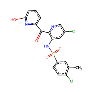 Cc1cc(S(=O)(=O)Nc2cc(Cl)cnc2C(=O)c2cccc(O)n2)ccc1Cl